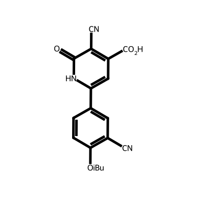 CC(C)COc1ccc(-c2cc(C(=O)O)c(C#N)c(=O)[nH]2)cc1C#N